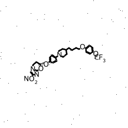 O=[N+]([O-])c1cn2c(n1)O[C@@H](COc1ccc(N3CCC(CCCCOc4ccc(OC(F)(F)F)cc4)CC3)cc1)CC2